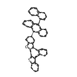 c1ccc2c(-c3c4ccccc4c(-c4ccc5oc6c7sc8ccccc8c7c7ccccc7c6c5c4)c4ccccc34)cccc2c1